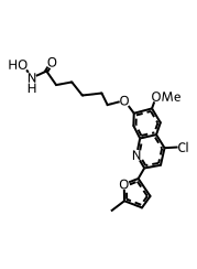 COc1cc2c(Cl)cc(-c3ccc(C)o3)nc2cc1OCCCCCC(=O)NO